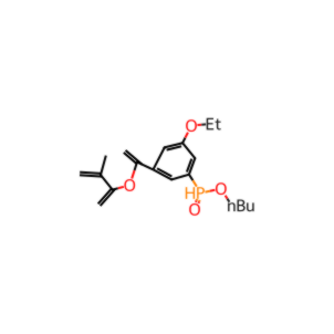 C=C(C)C(=C)OC(=C)c1cc(OCC)cc([PH](=O)OCCCC)c1